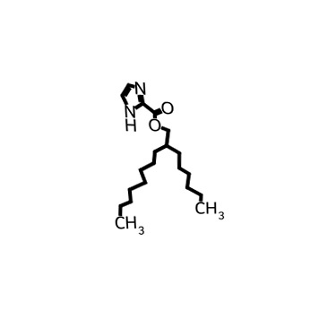 CCCCCCCCC(CCCCCC)COC(=O)c1ncc[nH]1